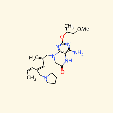 C=C(/C=C(\C=C/C)CN1CCCC1)CN1CC(=O)Nc2c(N)nc(O[C@@H](C)COC)nc21